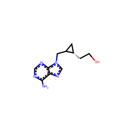 Nc1ncnc2c1ncn2CC1C[C@@H]1CCO